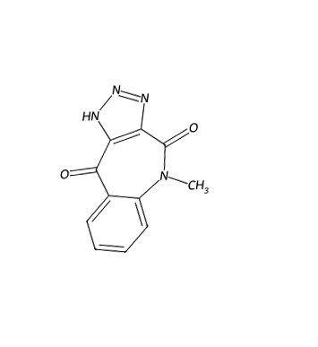 Cn1c(=O)c2nn[nH]c2c(=O)c2ccccc21